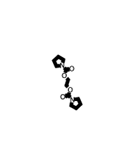 O=C(OCCOC(=O)N1CCCC1)N1CCCC1